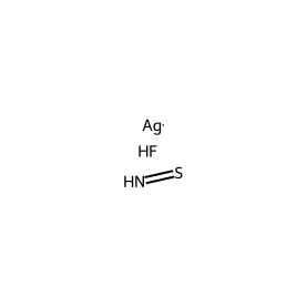 F.N=S.[Ag]